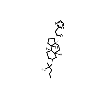 CCCC(C)(O)C[C@@H]1CC[C@@H]2[C@H](CC[C@]3(C)[C@@H](C(=O)Cc4ncco4)CC[C@@H]23)C1